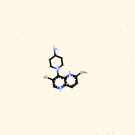 COc1ccc2ncc(C#N)c(N3CCC(N)CC3)c2n1